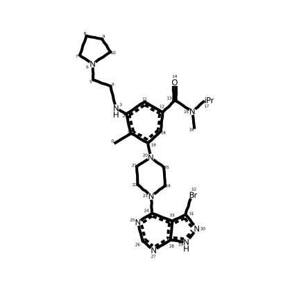 Cc1c(NCCN2CCCC2)cc(C(=O)N(C)C(C)C)cc1N1CCN(c2ncnc3[nH]nc(Br)c23)CC1